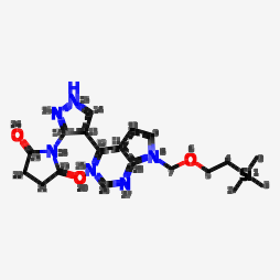 C[Si](C)(C)CCOCn1ccc2c(-c3c[nH]nc3N3C(=O)CCC3=O)ncnc21